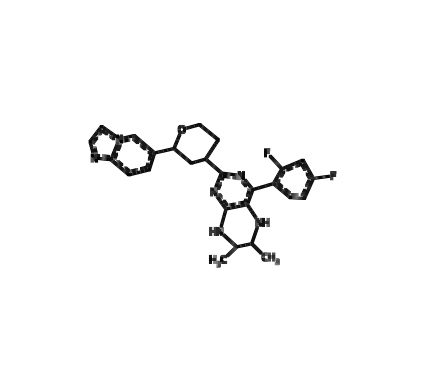 CC1Nc2nc(C3CCOC(c4ccc5nccn5c4)C3)nc(-c3ccc(F)cc3F)c2NC1C